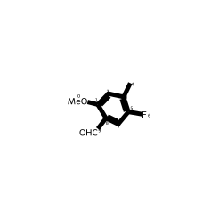 COc1cc(C)c(F)cc1C=O